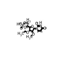 CCOC1C(OC)C(n2ccc(=O)[nH]c2=O)OC1[C@@H](C)OP(=O)(O)O